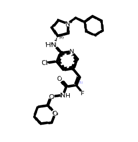 O=C(NOC1CCCCO1)/C(F)=C\c1cnc(N[C@@H]2CCN(CC3CCCCC3)C2)c(Cl)c1